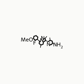 COc1cccc(-c2cc(C)cc3c(-c4ncc(N)cc4C)c(C)nn23)c1F